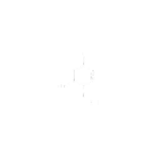 CCCc1cc(Cl)ccc1CO